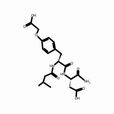 CC(C)CC(=O)N[C@@H](Cc1ccc(OCC(=O)O)cc1)C(=O)N[C@@H](CC(=O)O)C(N)=O